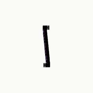 N=N/N=N/N=N/N=N/N=N/N=N/N=N/N=N/N=N/N=N/N=N/N=N/N=N/N=N/N=N/N=N/N=N/N=N/N=N/N=N/N=N/N=N/N=N/N=N/N=N/N=N/N=N/N=N/N=N/N=N/N=N/N=N/N=N/N=N/N=N/N=N/N=N/N=N/N=N/N=N/N=N/N=N/N=N/N=N/N=N/N=N/N=N/N=N